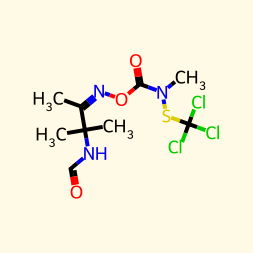 CC(=NOC(=O)N(C)SC(Cl)(Cl)Cl)C(C)(C)NC=O